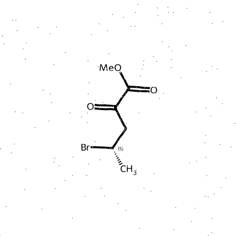 COC(=O)C(=O)C[C@H](C)Br